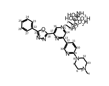 CC(C)C.CC(C)C.CN1CCN(c2ccc(-c3cncc(-c4nnc(-c5ccccc5)o4)n3)cn2)CC1.N.O=C(O)O.O=C(O)O